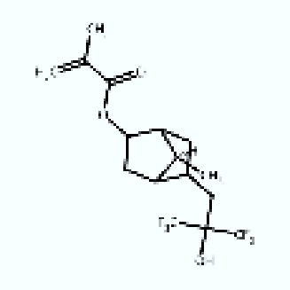 C=C(C)C(=O)OC1CC2C(CC(O)(C(F)(F)F)C(F)(F)F)CC1[C@H]2C